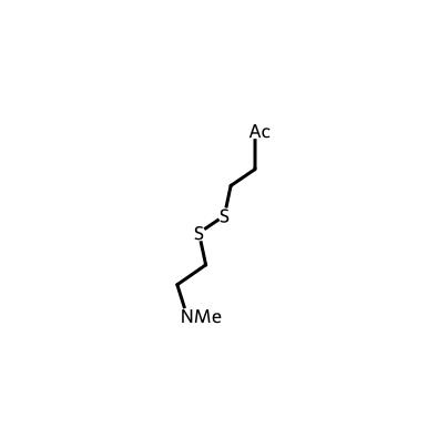 CNCCSSCCC(C)=O